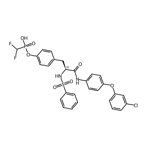 O=C(Nc1ccc(Oc2cccc(Cl)c2)cc1)[C@H](Cc1ccc(OP(=O)(O)C(F)F)cc1)NS(=O)(=O)c1ccccc1